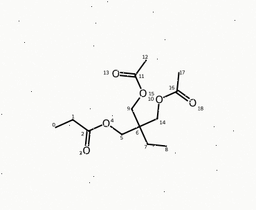 CCC(=O)OCC(CC)(COC(C)=O)COC(C)=O